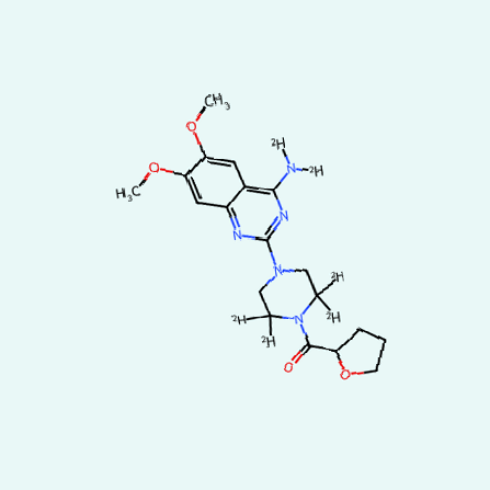 [2H]N([2H])c1nc(N2CC([2H])([2H])N(C(=O)C3CCCO3)C([2H])([2H])C2)nc2cc(OC)c(OC)cc12